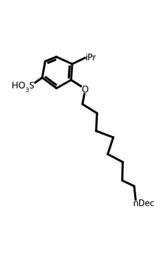 CCCCCCCCCCCCCCCCCCOc1cc(S(=O)(=O)O)ccc1C(C)C